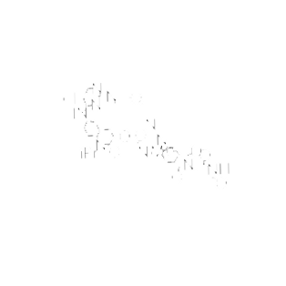 CNC(=O)COc1cc2cc(Nc3nc(N4CCC(O[C@H]5C[C@H](N6CCN(c7ccc8c(c7)C(=O)N(C7CCC(=O)NC7=O)C8=O)CC6)C5)CC4)ncc3Cl)ccc2n(C(C)C)c1=O